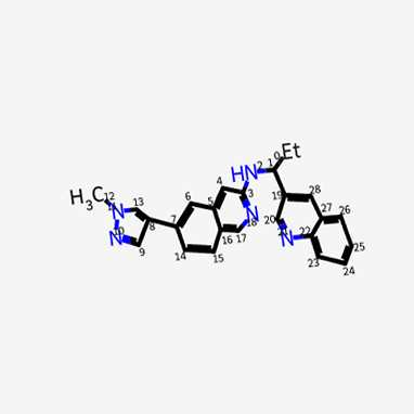 CCC(Nc1cc2cc(-c3cnn(C)c3)ccc2cn1)c1cnc2ccccc2c1